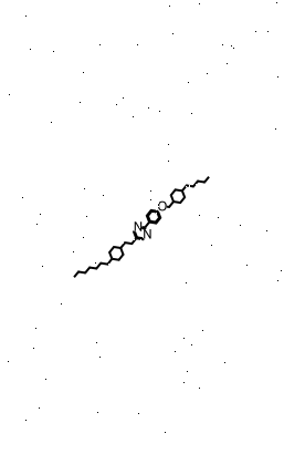 CCCCCCCC1CCC(CCc2cnc(-c3ccc(OCC4CCC(CCCCC)CC4)cc3)nc2)CC1